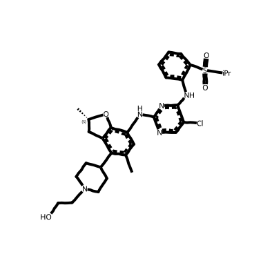 Cc1cc(Nc2ncc(Cl)c(Nc3ccccc3S(=O)(=O)C(C)C)n2)c2c(c1C1CCN(CCO)CC1)C[C@H](C)O2